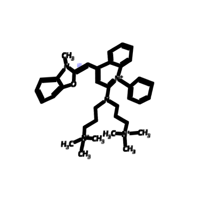 CN1/C(=C/c2cc(N(CCC[N+](C)(C)C)CCC[N+](C)(C)C)[n+](-c3ccccc3)c3ccccc23)Oc2ccccc21